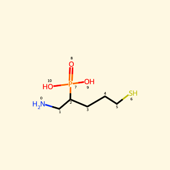 NCC(CCCS)P(=O)(O)O